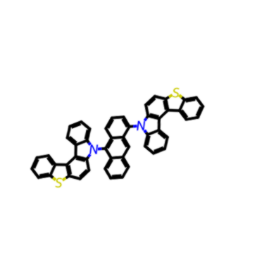 c1ccc2c(-n3c4ccccc4c4c5c(ccc43)sc3ccccc35)c3cccc(-n4c5ccccc5c5c6c(ccc54)sc4ccccc46)c3cc2c1